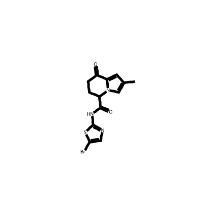 Cc1cc2n(c1)C(C(=O)Nc1ncc(Br)s1)CCC2=O